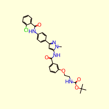 Cn1nc(-c2ccc(NC(=O)c3ccccc3Cl)cc2)cc1NC(=O)c1cccc(OCCNC(=O)OC(C)(C)C)c1